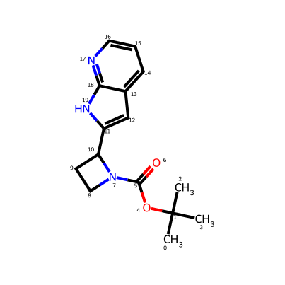 CC(C)(C)OC(=O)N1CCC1c1cc2cccnc2[nH]1